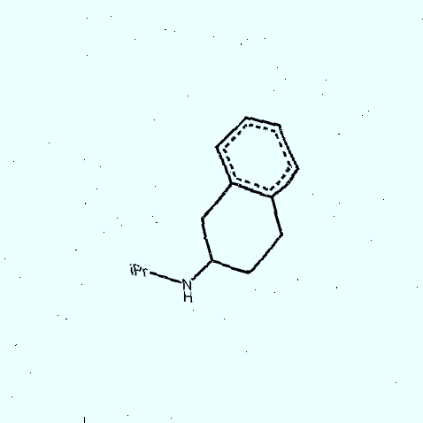 CC(C)NC1CCc2ccccc2C1